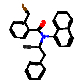 O=C[C@H](Cc1ccccc1)N(C(=O)c1ccccc1C=S)c1cccc2ccccc12